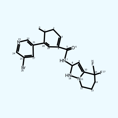 CC1CC=C(C(=O)NC2C=C3N(CCCC3(F)F)N2)C=C1c1cncc(Br)c1